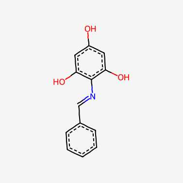 Oc1cc(O)c(/N=C/c2ccccc2)c(O)c1